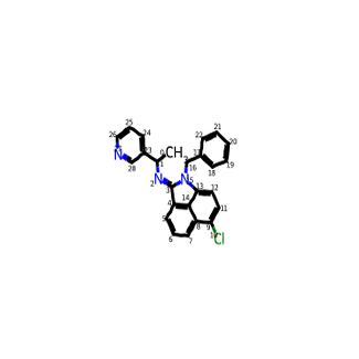 CC(N=C1c2cccc3c(Cl)ccc(c23)N1Cc1ccccc1)c1cccnc1